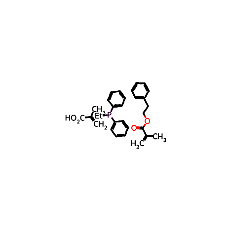 C=C(C)C(=O)O.C=C(C)C(=O)OCCc1ccccc1.CCP(c1ccccc1)c1ccccc1